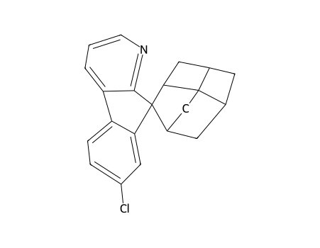 Clc1ccc2c(c1)C1(c3ncccc3-2)C2CC3CC4CC1C34C2